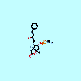 BPPO[C@@H]1C[C@@H]2OC(=O)C[C@@H]2[C@H]1/C=C/C(=O)CCc1ccccc1